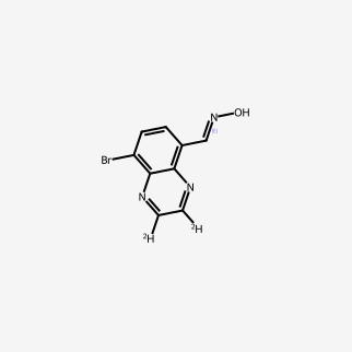 [2H]c1nc2c(Br)ccc(/C=N/O)c2nc1[2H]